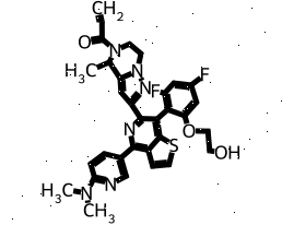 C=CC(=O)N1CCn2nc(-c3nc(-c4ccc(N(C)C)nc4)c4ccsc4c3-c3c(F)cc(F)cc3OCCO)cc2C1C